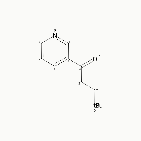 CC(C)(C)CCC(=O)c1cccnc1